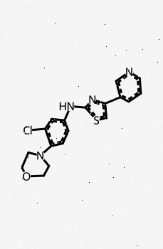 Clc1cc(Nc2nc(-c3cccnc3)cs2)ccc1N1CCOCC1